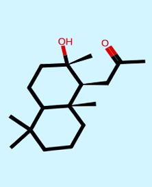 CC(=O)C[C@@H]1[C@@](C)(O)CCC2C(C)(C)CCC[C@]21C